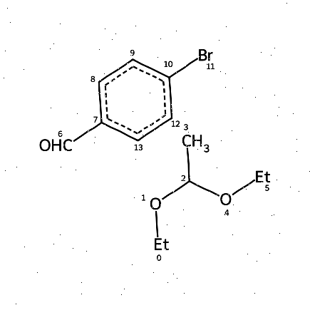 CCOC(C)OCC.O=Cc1ccc(Br)cc1